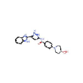 O=C(Nc1cc(-c2nc3ccccc3[nH]2)[nH]n1)c1ccc(N2CCC(O)CC2)cc1